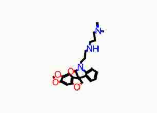 CN(C)CCCNCCCN1C(=O)C2(COc3cc4c(cc32)OCO4)c2ccccc21